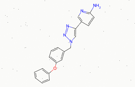 Nc1ccc(-c2cn(Cc3cccc(Oc4ccccc4)c3)nn2)cn1